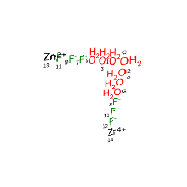 O.O.O.O.O.O.O.[F-].[F-].[F-].[F-].[F-].[F-].[Zn+2].[Zr+4]